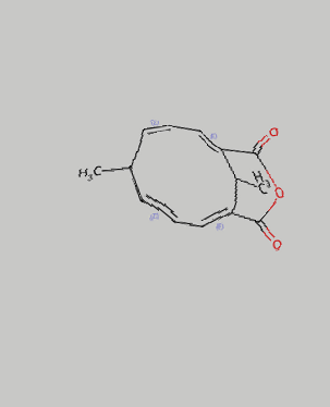 CC1/C=C\C=C2\C(=O)OC(=O)/C(=C/C=C\1)C2C